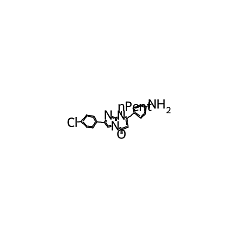 CCCCCn1c(-c2ccc(N)cc2)cc(=O)n2cc(-c3ccc(Cl)cc3)nc12